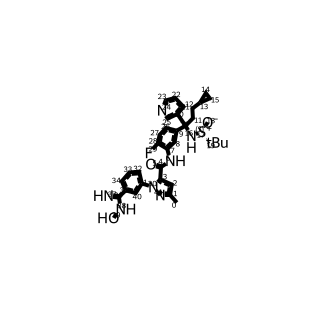 Cc1cc(C(=O)Nc2cc(C(CCC3CC3)(N[S@+]([O-])C(C)(C)C)c3cccnc3)ccc2F)n(-c2cccc(C(=N)NO)c2)n1